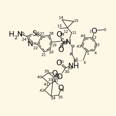 COc1ccc(C[C@@H](CCN(CC2(C)CC2)S(=O)(=O)c2ccc3nc(N)sc3c2)NC(=O)OC2C3COC4OC2CC4C3)cc1